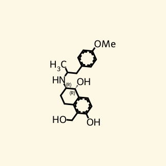 COc1ccc(CC(C)N[C@@H]2CCc3c(ccc(O)c3CO)[C@H]2O)cc1